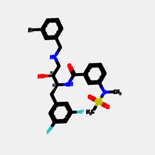 CCc1cccc(CNC[C@H](O)[C@H](Cc2cc(F)cc(F)c2)NC(=O)c2cccc(N(C)S(C)(=O)=O)c2)c1